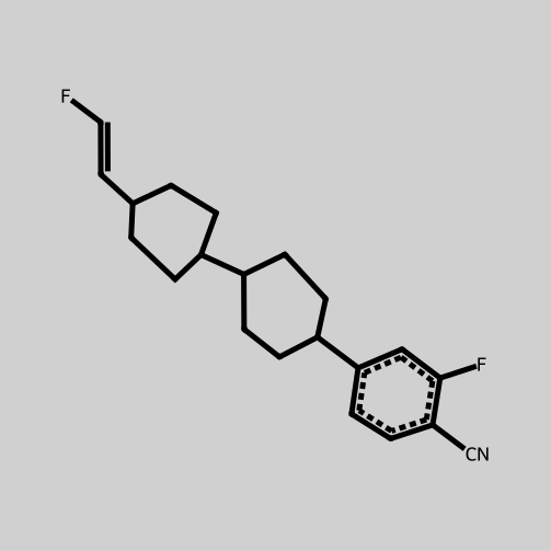 N#Cc1ccc(C2CCC(C3CCC(C=CF)CC3)CC2)cc1F